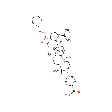 C=C(C)[C@@H]1CC[C@]2(C(=O)OCc3ccccc3)CC[C@]3(C)[C@H](CCC4[C@@]5(C)CC=C(c6ccc(C(=O)OC)cc6)C(C)(C)C5CC[C@]43C)C12